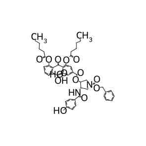 CCCCCC(=O)Oc1cc(C(=O)O[C@H]2CN(C(=O)OCc3ccccc3)C[C@@H]2NC(=O)c2ccc(O)cc2)cc(O)c1C(=O)c1c(OC(=O)CCCCC)cccc1C(=O)O